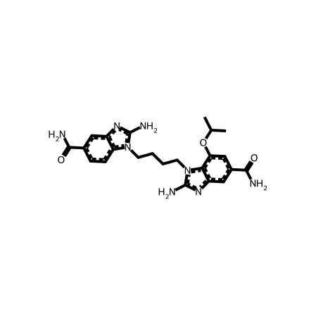 CC(C)Oc1cc(C(N)=O)cc2nc(N)n(CCCCn3c(N)nc4cc(C(N)=O)ccc43)c12